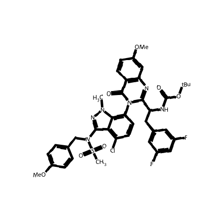 COc1ccc(CN(c2nn(C)c3c(-n4c(C(Cc5cc(F)cc(F)c5)NC(=O)OC(C)(C)C)nc5cc(OC)ccc5c4=O)ccc(Cl)c23)S(C)(=O)=O)cc1